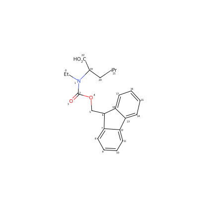 CCN(C(=O)OCC1c2ccccc2-c2ccccc21)C(CC(C)C)C(=O)O